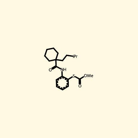 COC(=O)Sc1ccccc1NC(=O)C1(CCC(C)C)CCCCC1